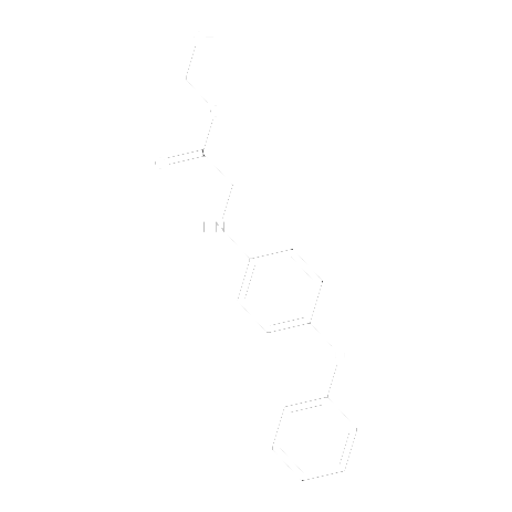 CCOC(=O)CNc1ccc(Oc2ccccc2)cc1